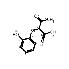 CC(=O)C(Sc1ccccc1O)C(=O)O